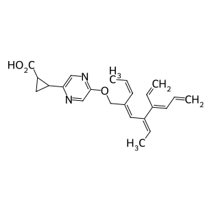 C=C/C=C(C=C)/C(/C=C(\C=C/C)COc1cnc(C2CC2C(=O)O)cn1)=C/C